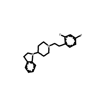 Fc1ccc(CCN2CCC(N3CCc4ccccc43)CC2)c(F)c1